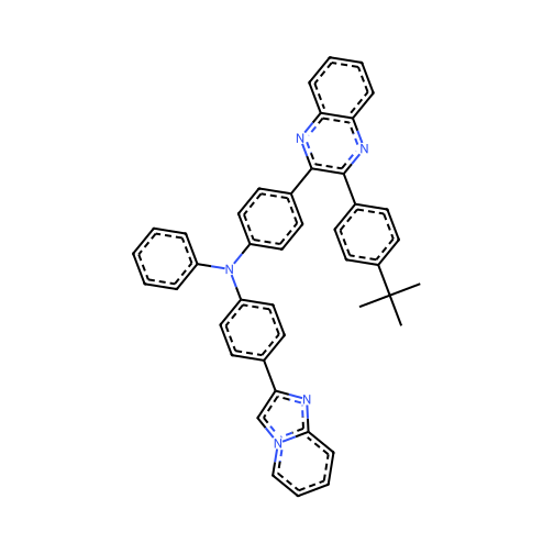 CC(C)(C)c1ccc(-c2nc3ccccc3nc2-c2ccc(N(c3ccccc3)c3ccc(-c4cn5ccccc5n4)cc3)cc2)cc1